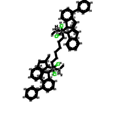 C[SiH2][Zr]([Cl])([Cl])([CH2]CCCC[CH2][Zr]([Cl])([Cl])([SiH2]C)([CH]1C(C)=Cc2ccccc21)[CH]1C(C)=Cc2c(-c3ccccc3)cccc21)([CH]1C(C)=Cc2ccccc21)[CH]1C(C)=Cc2c(-c3ccccc3)cccc21